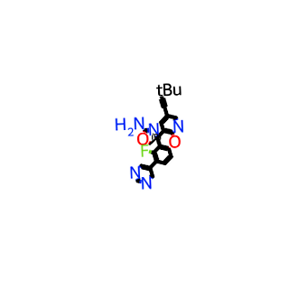 CC(C)(C)C#Cc1cnc2c(c1)[C@]1(COC(N)=N1)c1c(ccc(-c3cncnc3)c1F)O2